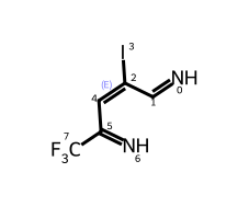 N=C/C(I)=C\C(=N)C(F)(F)F